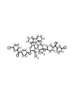 Cc1cc(C2(c3ccc(Oc4ccc(C(=O)c5cccc(Cl)c5)cc4)c(C)c3)c3ccccc3-c3ccccc32)ccc1Oc1ccc(C(=O)c2cccc(Cl)c2)cc1